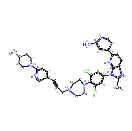 Cc1nc2ccc(-c3ccnc(N)c3)nc2n1-c1cc(Cl)c(N2CCN(CC#Cc3ccc(N4CCC(C=O)CC4)nc3)CC2)c(Cl)c1